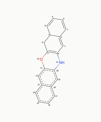 C1=CC2=CC3=C(CC2C=C1)Oc1cc2ccccc2cc1N3